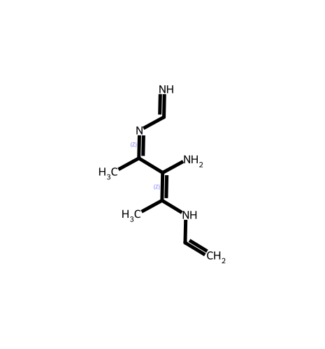 C=CN/C(C)=C(N)/C(C)=N\C=N